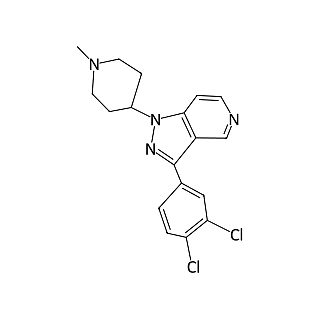 CN1CCC(n2nc(-c3ccc(Cl)c(Cl)c3)c3cnccc32)CC1